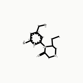 CCC1COCC(=O)N1c1cc(CBr)cc(Br)n1